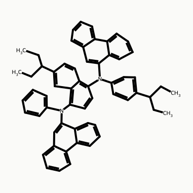 CCC(CC)c1ccc(N(c2ccc(N(c3ccccc3)c3cc4ccccc4c4ccccc34)c3cc(C(CC)CC)ccc23)c2cc3ccccc3c3ccccc23)cc1